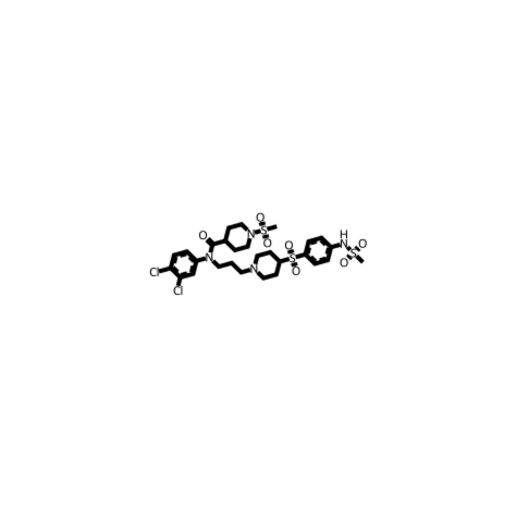 CS(=O)(=O)Nc1ccc(S(=O)(=O)C2CCN(CCCN(C(=O)C3CCN(S(C)(=O)=O)CC3)c3ccc(Cl)c(Cl)c3)CC2)cc1